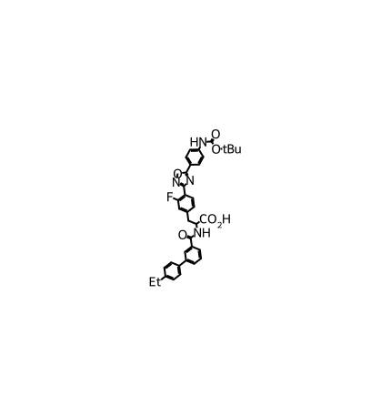 CCc1ccc(-c2cccc(C(=O)NC(Cc3ccc(-c4noc(-c5ccc(NC(=O)OC(C)(C)C)cc5)n4)c(F)c3)C(=O)O)c2)cc1